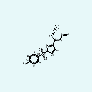 C=CCC(N=[N+]=[N-])C1=NC(S(=O)(=O)c2ccc(C)cc2)C=C1